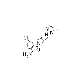 Cc1cc(C)nc(N2CC3CN(C(=O)c4cc(Cl)ccc4CN)CC3C2)n1